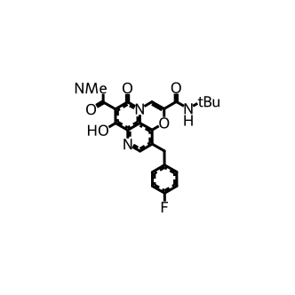 CNC(=O)c1c(O)c2ncc(Cc3ccc(F)cc3)c3c2n(c1=O)C=C(C(=O)NC(C)(C)C)O3